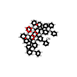 N#Cc1ccccc1-c1cc(N2c3ccc(N(c4ccccc4)c4ccccc4)cc3C(c3ccccc3)(c3ccccc3)c3cc(N(c4ccccc4)c4ccccc4)ccc32)c(-c2ccccc2C#N)c(N2c3ccc(N(c4ccccc4)c4ccccc4)cc3C(c3ccccc3)(c3ccccc3)c3cc(N(c4ccccc4)c4ccccc4)ccc32)c1